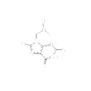 CN(C)Cn1c(F)nc2c(=O)[nH]c(N)nc21